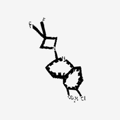 O=C(O)c1c(Cl)ccc2nc(N3CC(F)(F)C3)ccc12